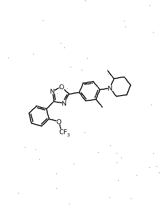 Cc1cc(-c2nc(-c3ccccc3OC(F)(F)F)no2)ccc1N1CCCCC1C